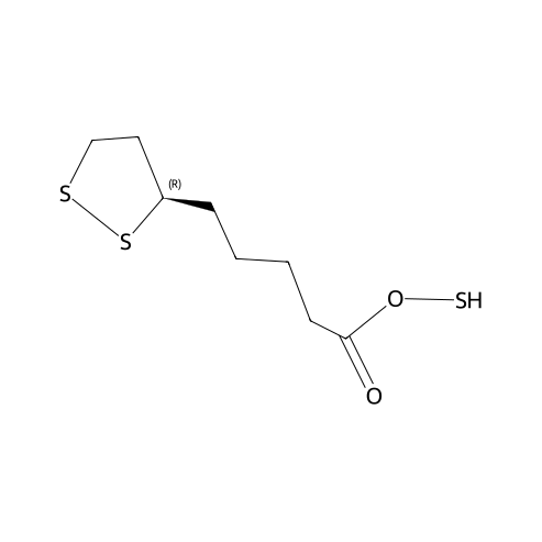 O=C(CCCC[C@@H]1CCSS1)OS